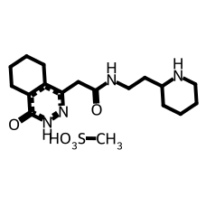 CS(=O)(=O)O.O=C(Cc1n[nH]c(=O)c2c1CCCC2)NCCC1CCCCN1